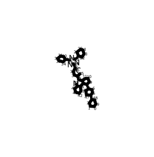 c1ccc(-c2ccc(-c3cccc4c(-c5ccc(-c6nc(-c7ccccc7)nc(-c7ccccc7)n6)cc5)nc5ccccc5c34)cc2)cc1